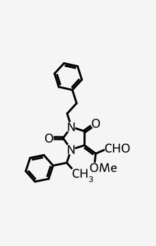 COC(C=O)=C1C(=O)N(CCc2ccccc2)C(=O)N1C(C)c1ccccc1